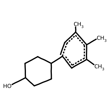 Cc1cc(C2CCC(O)CC2)cc(C)c1C